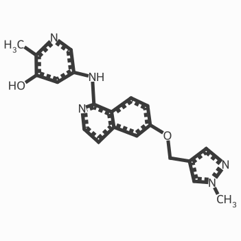 Cc1ncc(Nc2nccc3cc(OCc4cnn(C)c4)ccc23)cc1O